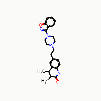 CC1C(=O)Nc2ccc(CCN3CCN(c4noc5ccccc45)CC3)cc2C1C